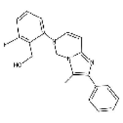 CC1=C(c2ccccc2)N=C2C=CN(c3cccc(F)c3CO)C[N+]21